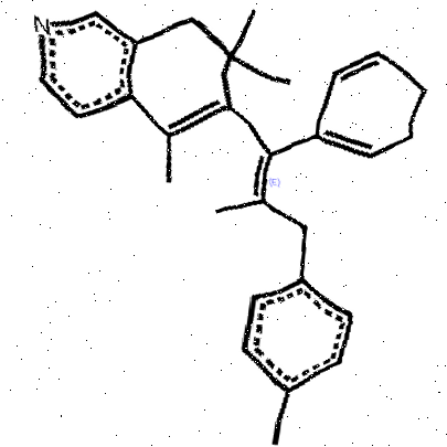 CC1=C(/C(C2=CCCC=C2)=C(\C)Cc2ccc(C)cc2)C(C)(C)Cc2cnccc21